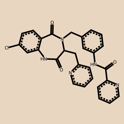 O=C(Nc1cccc(CN2C(=O)c3ccc(Cl)cc3NC(=O)C2Cc2ccccn2)c1)c1ccccn1